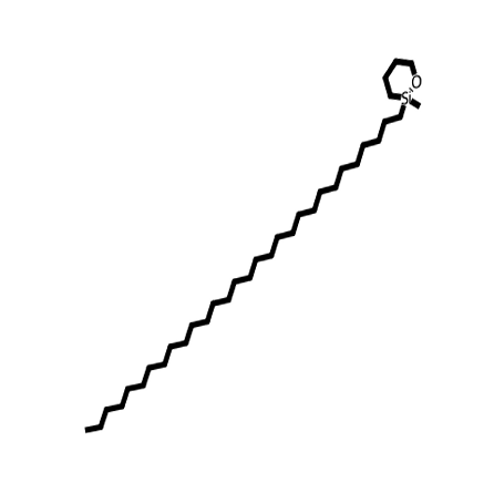 CCCCCCCCCCCCCCCCCCCCCCCCCCCCCC[Si]1(C)CCCCO1